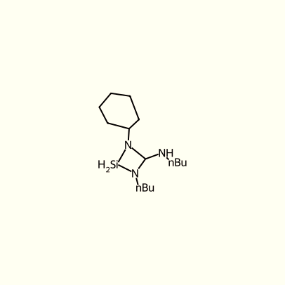 CCCCNC1N(CCCC)[SiH2]N1C1CCCCC1